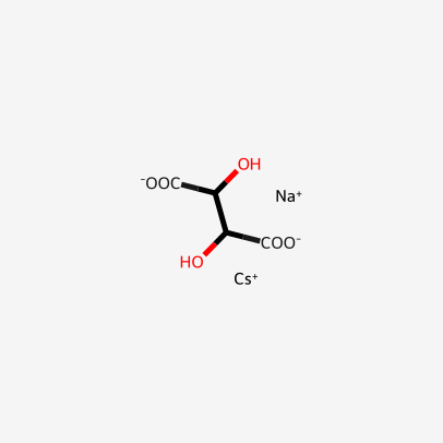 O=C([O-])C(O)C(O)C(=O)[O-].[Cs+].[Na+]